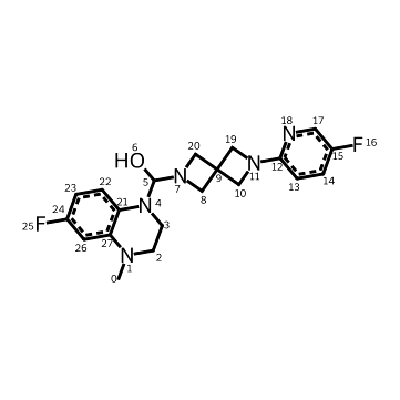 CN1CCN(C(O)N2CC3(CN(c4ccc(F)cn4)C3)C2)c2ccc(F)cc21